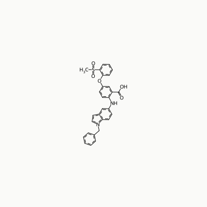 CS(=O)(=O)c1ccccc1Oc1ccc(Nc2ccc3c(ccn3Cc3ccccc3)c2)c(C(=O)O)c1